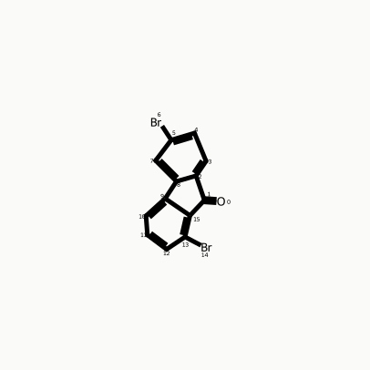 O=C1c2ccc(Br)cc2-c2cccc(Br)c21